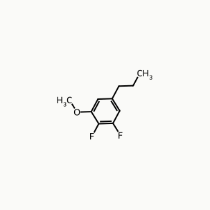 CCCc1cc(F)c(F)c(OC)c1